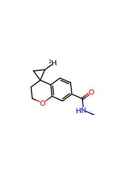 [2H]C1CC12CCOc1cc(C(=O)NC)ccc12